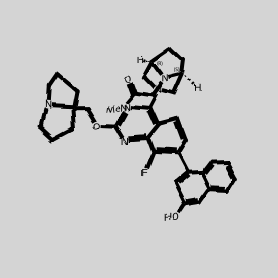 CNC(=O)CN1[C@@H]2CC[C@H]1CN(c1nc(OCC34CCCN3CCC4)nc3c(F)c(-c4cc(O)cc5ccccc45)ccc13)C2